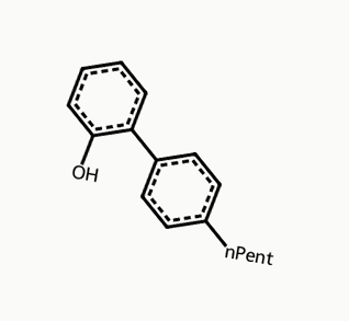 CCCCCc1ccc(-c2ccccc2O)cc1